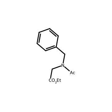 [CH2]C(=O)N(CC(=O)OCC)Cc1ccccc1